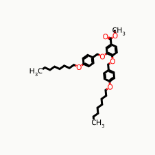 CCCCCCCCOc1ccc(COc2ccc(C(=O)OC)cc2OCc2ccc(OCCCCCCCC)cc2)cc1